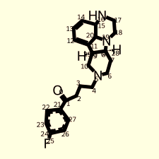 O=C(CCCN1CC[C@H]2[C@@H](C1)C1=CC=CC3NCCN2C13)c1ccc(F)cc1